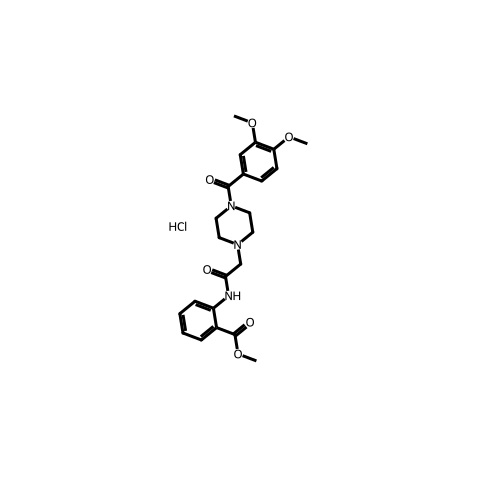 COC(=O)c1ccccc1NC(=O)CN1CCN(C(=O)c2ccc(OC)c(OC)c2)CC1.Cl